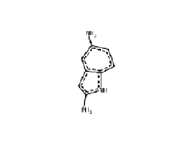 Nc1ccc2[nH]c(P)cc2c1